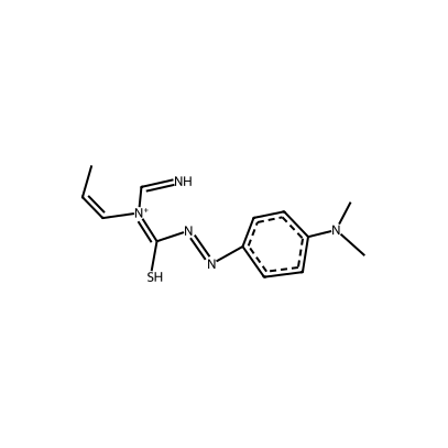 C/C=C\[N+](C=N)=C(/S)N=Nc1ccc(N(C)C)cc1